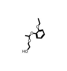 CCOc1ccccc1OC(C)OCCO